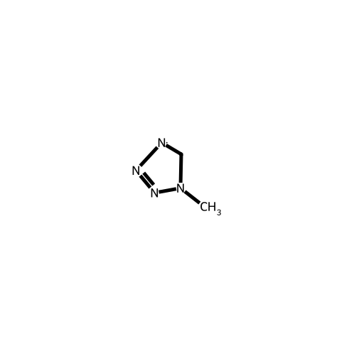 CN1C[N]N=N1